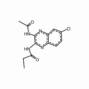 CCC(=O)Nc1nc2ccc(Cl)cc2nc1NC(C)=O